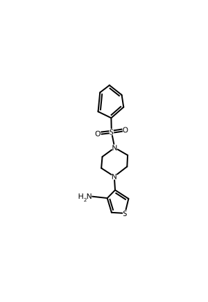 Nc1cscc1N1CCN(S(=O)(=O)c2ccccc2)CC1